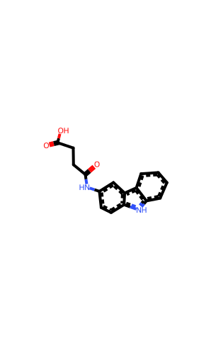 O=C(O)CCC(=O)Nc1ccc2[nH]c3ccccc3c2c1